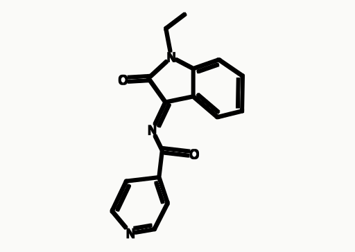 CCN1C(=O)/C(=N/C(=O)c2ccncc2)c2ccccc21